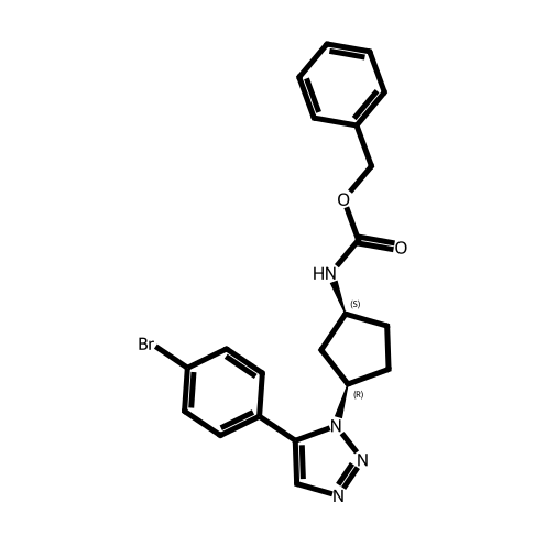 O=C(N[C@H]1CC[C@@H](n2nncc2-c2ccc(Br)cc2)C1)OCc1ccccc1